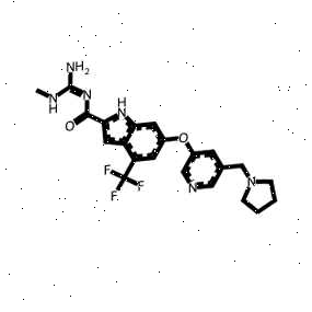 CNC(N)=NC(=O)c1cc2c(C(F)(F)F)cc(Oc3cncc(CN4CCCC4)c3)cc2[nH]1